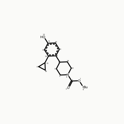 CC(C)(C)OC(=O)N1CCC(c2ccc(O)cc2C2CC2)CC1